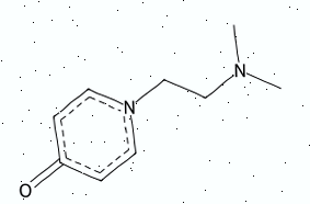 CN(C)CCn1ccc(=O)cc1